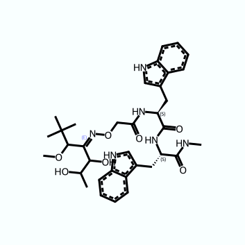 CNC(=O)[C@H](Cc1c[nH]c2ccccc12)NC(=O)[C@H](Cc1c[nH]c2ccccc12)NC(=O)CO/N=C(\C(O)C(C)O)C(OC)C(C)(C)C